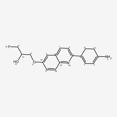 NC1=CC=C(c2ccc3cc(OCC(O)CF)ccc3n2)CC1